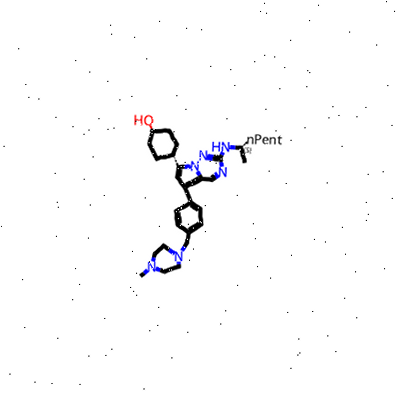 CCCCC[C@H](C)Nc1ncc2c(-c3ccc(CN4CCN(C)CC4)cc3)cc([C@H]3CC[C@@H](O)CC3)n2n1